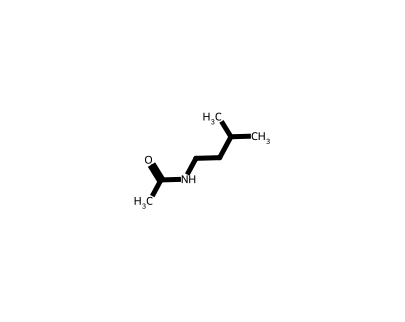 CC(=O)NCCC(C)C